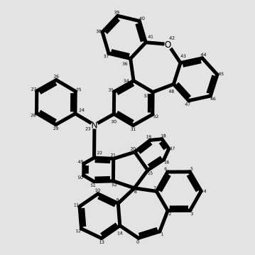 C1=Cc2ccccc2C2(c3ccccc31)c1ccccc1-c1c(N(c3ccccc3)c3ccc4c(c3)-c3ccccc3Oc3ccccc3-4)cccc12